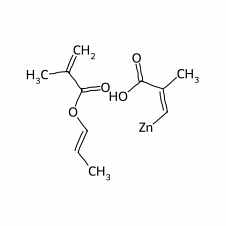 C=C(C)C(=O)OC=CC.CC(=[CH][Zn])C(=O)O